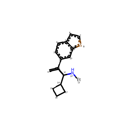 C=C(c1ccc2ccsc2c1)C(NCC)C1CCC1